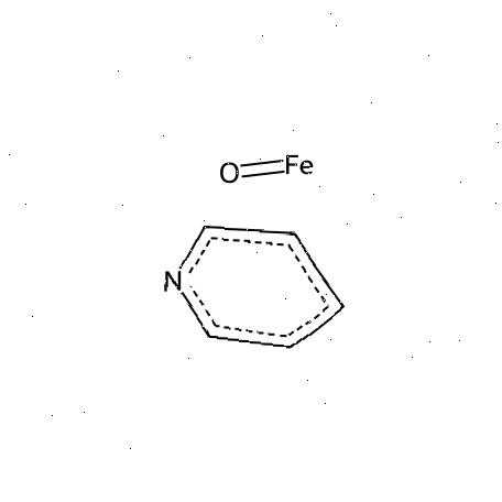 [O]=[Fe].c1ccncc1